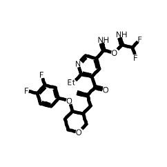 C=C(CC1COCCC1Oc1ccc(F)c(F)c1)C(=O)c1cc(C(=N)OC(=N)C(F)F)cnc1CC